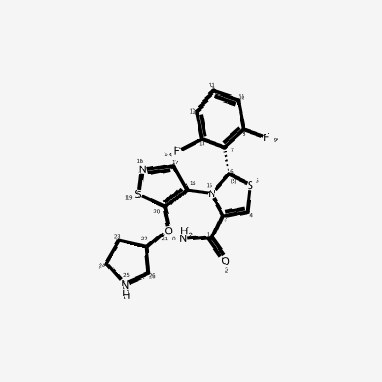 NC(=O)C1=CS[C@@H](c2c(F)cccc2F)N1c1cnsc1OC1CCNC1